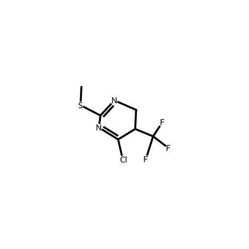 CSC1=NCC(C(F)(F)F)C(Cl)=N1